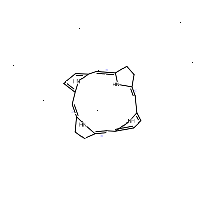 C1=C2/CC/C(=C/c3ccc([nH]3)/C=C3/CC/C(=C/c4ccc/1[nH]4)N3)N2